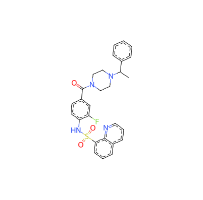 CC(c1ccccc1)N1CCN(C(=O)c2ccc(NS(=O)(=O)c3cccc4cccnc34)c(F)c2)CC1